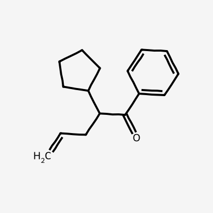 C=CCC(C(=O)c1ccccc1)C1CCCC1